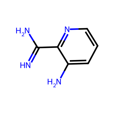 N=C(N)c1ncccc1N